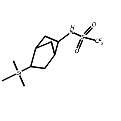 C[Si](C)(C)C1CC2CC1CC2NS(=O)(=O)C(F)(F)F